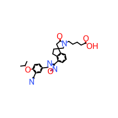 CC(C)Oc1ccc(-c2nc(-c3cccc4c3CCC43CC(=O)N(CCCCC(=O)O)C3)no2)cc1C#N